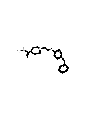 NNC(=O)C1CCN(CCOc2ccc(Cc3ccccc3)cc2)CC1